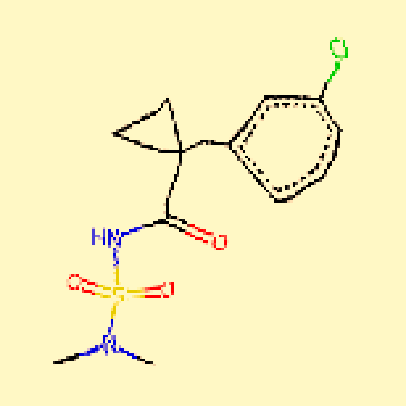 CN(C)S(=O)(=O)NC(=O)C1(c2cccc(Cl)c2)CC1